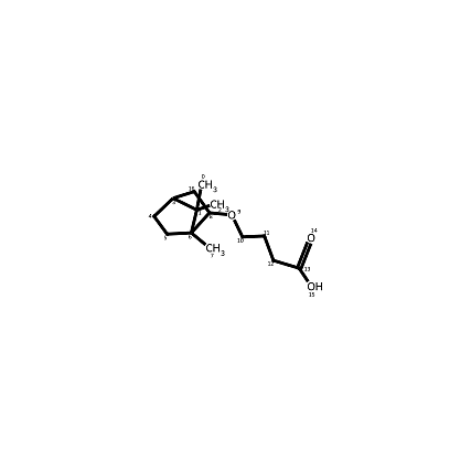 CC1(C)C2CCC1(C)C(OCCCC(=O)O)C2